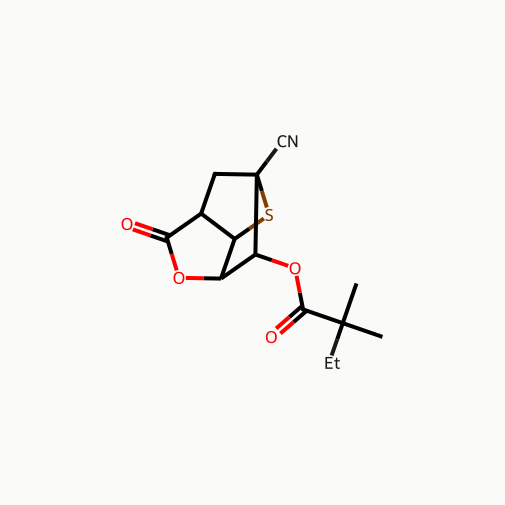 CCC(C)(C)C(=O)OC1C2OC(=O)C3CC1(C#N)SC32